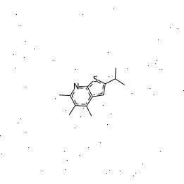 Cc1nc2sc(C(C)C)cc2c(C)c1C